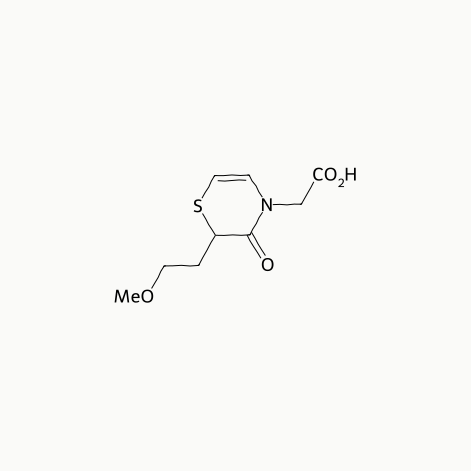 COCCC1SC=CN(CC(=O)O)C1=O